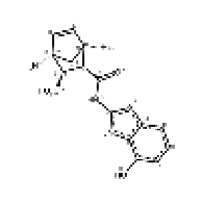 O=C(O)[C@@H]1[C@H](C(=O)Nc2nc3c(O)cccc3s2)[C@@H]2C=C[C@H]1C2